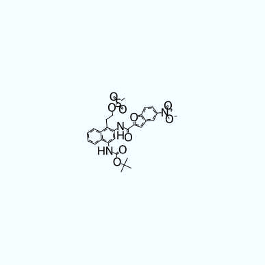 CC(C)(C)OC(=O)Nc1cc(NC(=O)c2cc3cc([N+](=O)[O-])ccc3o2)c(CCOS(C)(=O)=O)c2ccccc12